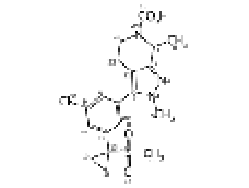 CC1c2nn(C)c(-c3cc(Cl)cc(C4(S(C)(=O)=O)CC4)c3)c2CCN1C(=O)O